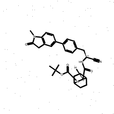 CN1C(=O)Cc2cc(-c3ccc(C[C@@H](C#N)NC(=O)[C@@H]4C5CCC(CC5)N4C(=O)OC(C)(C)C)cc3)ccc21